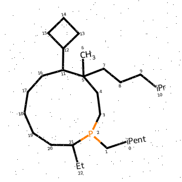 CCCC(C)CP1CCC(C)(CCCC(C)C)C(C2CCC2)CCCCCC1CC